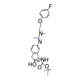 C/C(=N\c1ccc2c(c1)[C@@H](NC(=O)OC(C)(C)C)[C@H](O)C2)N(C)CCOc1ccc(F)cc1